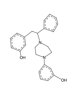 Oc1cccc(CC(c2ccccc2)N2CCN(c3cccc(O)c3)CC2)c1